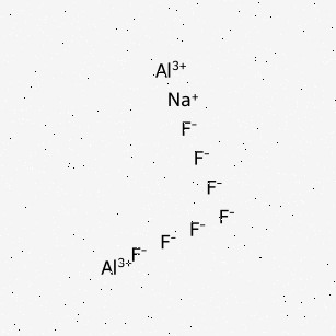 [Al+3].[Al+3].[F-].[F-].[F-].[F-].[F-].[F-].[F-].[Na+]